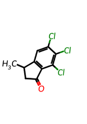 CC1CC(=O)c2c1cc(Cl)c(Cl)c2Cl